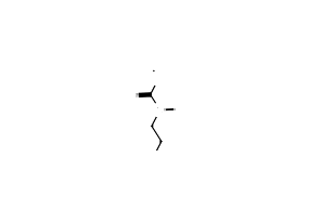 CC(C)(C)OC(=O)N(F)CCO